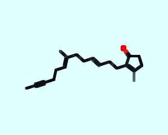 CC#CCCC=C(C)CCC=CCCC1=C(C)CCC1=O